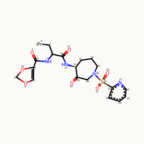 CC(C)CC(NC(=O)C1=COCO1)C(=O)N[C@H]1CCCN(S(=O)(=O)c2ccccn2)CC1=O